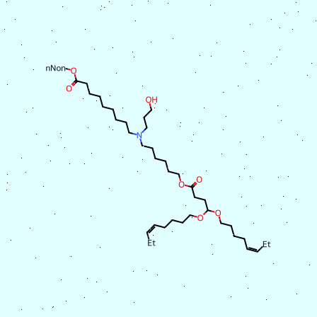 CC/C=C\CCCCOC(CCC(=O)OCCCCCCN(CCCO)CCCCCCCCC(=O)OCCCCCCCCC)OCCCC/C=C\CC